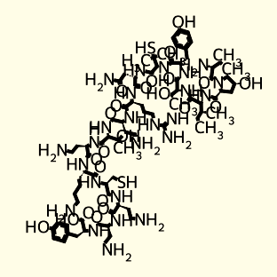 CC[C@H](C)[C@H](NC(=O)[C@@H]1C[C@@H](O)CN1C(=O)[C@@H](N)C(C)C)C(=O)N[C@H](C(=O)N[C@@H](Cc1ccc(O)cc1)C(=O)N[C@H](C(=O)N[C@@H](CC(N)=O)C(=O)N[C@@H](CCCNC(=N)N)C(=O)N[C@@H](CCN)C(=O)N[C@H](C(=O)N[C@H](CCN)C(=O)N[C@@H](CCCCN)C(=O)N[C@@H](CS)C(=O)N[C@@H](CCN)C(=O)N[C@@H](CCN)C(=O)N[C@@H](Cc1ccc(O)cc1)C(=O)O)[C@@H](C)O)C(C)(C)S)[C@@H](C)O